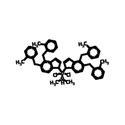 Cc1ccccc1Cc1ccc2c(c1Cc1ccccc1C)C=C[CH]2[Zr]([Cl])([Cl])([CH]1C=Cc2c1ccc(Cc1ccccc1C)c2Cc1ccccc1C)[SiH](C)C